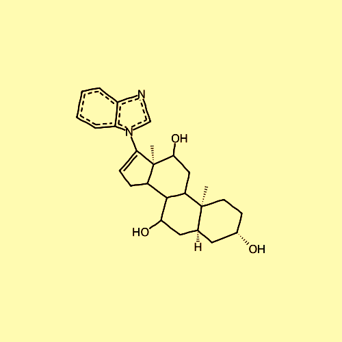 C[C@@]12C(n3cnc4ccccc43)=CCC1C1C(O)C[C@@H]3C[C@@H](O)CC[C@]3(C)C1CC2O